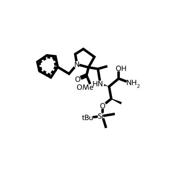 COC(=O)C1(C(C)N[C@H](C(N)O)[C@@H](C)O[Si](C)(C)C(C)(C)C)CCCN1Cc1ccccc1